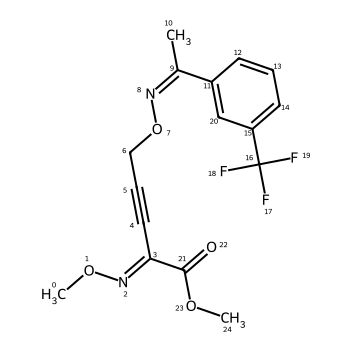 CO/N=C(\C#CCO/N=C(/C)c1cccc(C(F)(F)F)c1)C(=O)OC